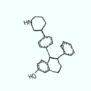 Oc1ccc2c(c1)CCC(c1ccccc1)C2c1ccc(C2CCCNC2)cc1